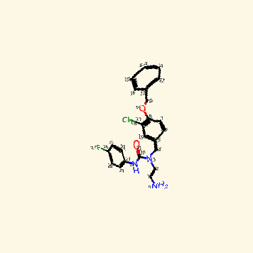 NCCN(Cc1ccc(OCc2ccccc2)c(Cl)c1)C(=O)Nc1ccc(F)cc1